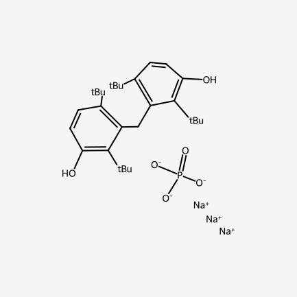 CC(C)(C)c1ccc(O)c(C(C)(C)C)c1Cc1c(C(C)(C)C)ccc(O)c1C(C)(C)C.O=P([O-])([O-])[O-].[Na+].[Na+].[Na+]